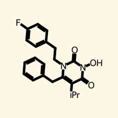 CC(C)c1c(Cc2ccccc2)n(CCc2ccc(F)cc2)c(=O)n(O)c1=O